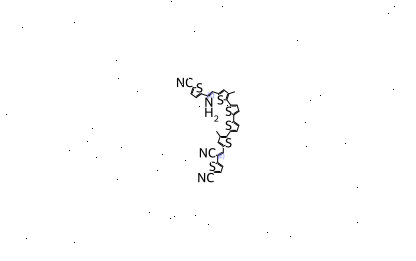 Cc1cc(/C=C(\N)c2ccc(C#N)s2)sc1-c1ccc(-c2ccc(-c3sc(/C=C(\C#N)c4ccc(C#N)s4)cc3C)s2)s1